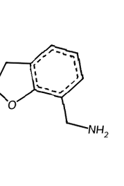 NCc1cccc2c1OCC2